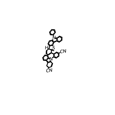 CC12Sc3c(ccc4c3c3ccccc3n4-c3ccccc3)[C@@H]1C=CC=C2c1cc(C#N)ccc1-n1c2c(c3ccccc31)CC(C#N)C=C2